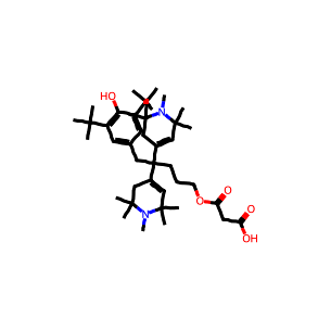 CN1C(C)(C)C=C(C(CCCOC(=O)CC(=O)O)(Cc2cc(C(C)(C)C)c(O)c(C(C)(C)C)c2)C2=CC(C)(C)N(C)C(C)(C)C2)CC1(C)C